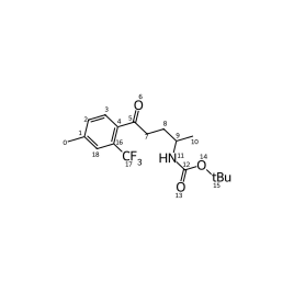 Cc1ccc(C(=O)CCC(C)NC(=O)OC(C)(C)C)c(C(F)(F)F)c1